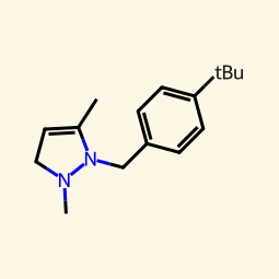 CC1=CCN(C)N1Cc1ccc(C(C)(C)C)cc1